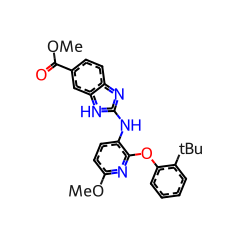 COC(=O)c1ccc2nc(Nc3ccc(OC)nc3Oc3ccccc3C(C)(C)C)[nH]c2c1